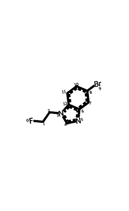 FCCn1cnc2cc(Br)ccc21